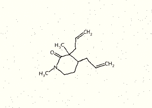 C=CCC1CCN(C)C(=O)C1(C)CC=C